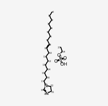 CCCCCCCCC=CCCCCCCCCN1C=NCC1.CCOS(=O)(=O)O